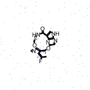 C=N/C1=C(\C=C(/C)F)[C@@H](C)Oc2cnc3[nH]cc(c3n2)C(=O)NCCO1